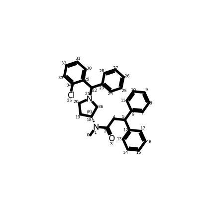 CN(C(=O)CC(c1ccccc1)c1ccccc1)[C@@H]1CCN(C(c2ccccc2)c2ccccc2Cl)C1